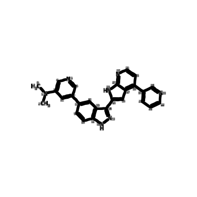 CN(C)c1cncc(-c2ccc3[nH]nc(-c4cc5c(-c6cccnc6)ccnc5[nH]4)c3c2)c1